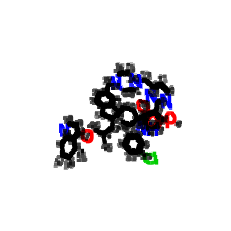 COc1ccccc1-c1nccc(CN2CCN(Cc3ccc4c(c3)[C@]3(CC[C@@](Nc5cccc(Cl)c5)(C(=O)O)CC3)[C@@H](C[C@@H](C)COc3ccnc5c3[C@H](C)CCC5)C4)CC2)n1